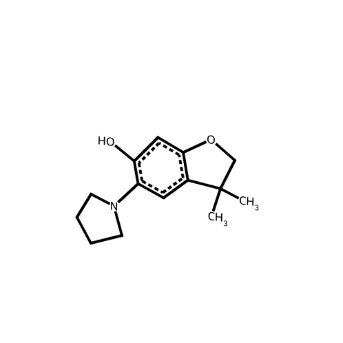 CC1(C)COc2cc(O)c(N3CCCC3)cc21